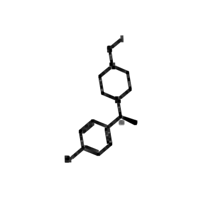 C[C@@H](c1ccc(Br)cc1)N1CCN(SI)CC1